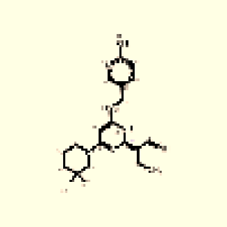 CC/C(C=N)=C1\N=C(N2CCCC(F)(F)C2)C=C(NCc2ccc(C)nc2)N1